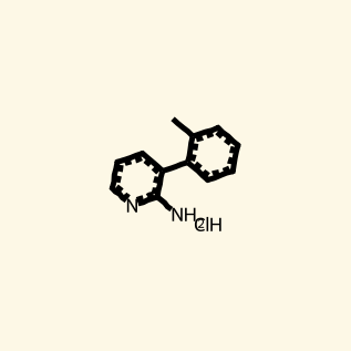 Cc1ccccc1-c1cccnc1N.Cl